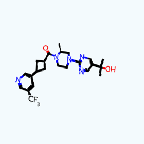 C[C@H]1CN(c2ncc(C(C)(C)O)cn2)CCN1C(=O)C1CC(c2cncc(C(F)(F)F)c2)C1